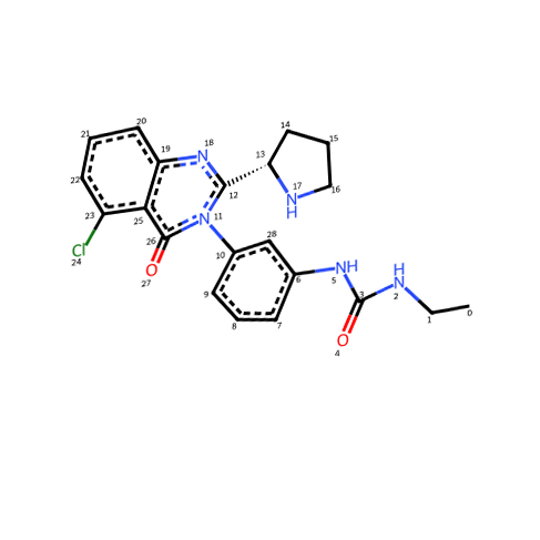 CCNC(=O)Nc1cccc(-n2c([C@@H]3CCCN3)nc3cccc(Cl)c3c2=O)c1